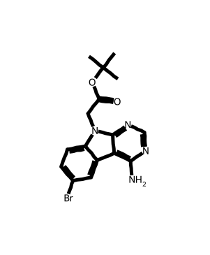 CC(C)(C)OC(=O)Cn1c2ccc(Br)cc2c2c(N)ncnc21